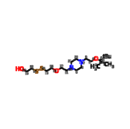 CC(C)(C)[Si](C)(C)OCCN1CCN(CCOCCSSCCO)CC1